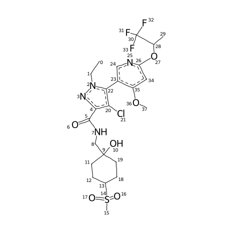 CCn1nc(C(=O)NCC2(O)CCC(S(C)(=O)=O)CC2)c(Cl)c1-c1cnc(OC(C)C(F)(F)F)cc1OC